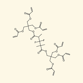 C=CC(=O)OCC(COC(=O)C=C)(COC(=O)C=C)COC(=O)C(C)C(F)(F)C(C)(C)C(=O)OCC(COC(=O)C=C)(COC(=O)C=C)COC(=O)C=C